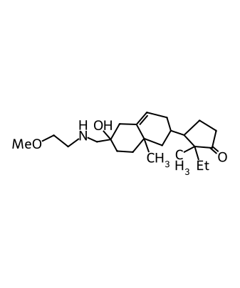 CCC1(C)C(=O)CCC1C1CC=C2CC(O)(CNCCOC)CCC2(C)C1